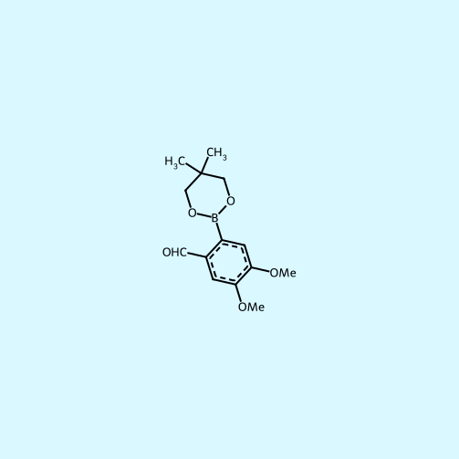 COc1cc(C=O)c(B2OCC(C)(C)CO2)cc1OC